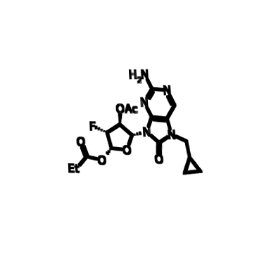 CCC(=O)O[C@H]1O[C@@H](n2c(=O)n(CC3CC3)c3cnc(N)nc32)[C@H](OC(C)=O)[C@H]1F